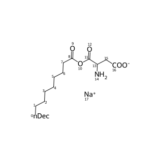 CCCCCCCCCCCCCCCCCC(=O)OC(=O)C(N)CC(=O)[O-].[Na+]